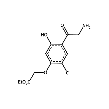 CCOC(=O)COc1cc(O)c(C(=O)CN)cc1Cl